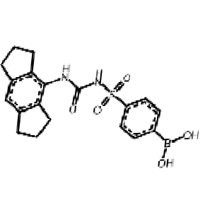 O=C(Nc1c2c(cc3c1CCC3)CCC2)NS(=O)(=O)c1ccc(B(O)O)cc1